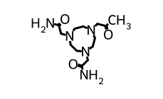 CC(=O)CN1CCN(CC(N)=O)CCN(CC(N)=O)CC1